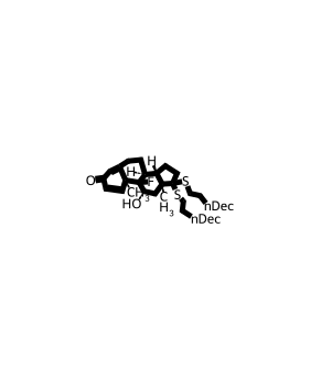 CCCCCCCCCCCCSC1(SCCCCCCCCCCCC)CC[C@H]2[C@@H]3CCC4=CC(=O)C=C[C@]4(C)C3(F)[C@@H](O)C[C@@]21C